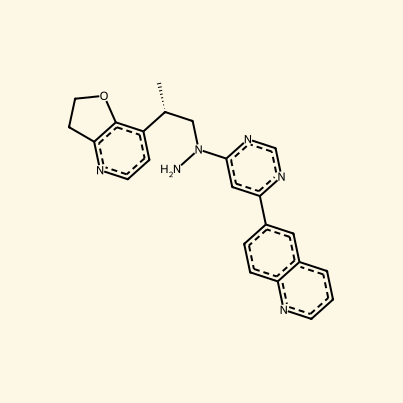 C[C@H](CN(N)c1cc(-c2ccc3ncccc3c2)ncn1)c1ccnc2c1OCC2